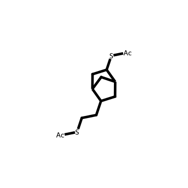 CC(=O)SCCC1CC2CC1CC2SC(C)=O